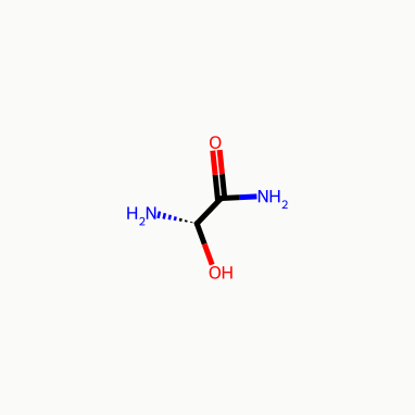 NC(=O)[C@@H](N)O